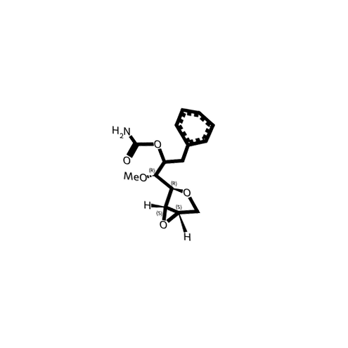 CO[C@H](C(Cc1ccccc1)OC(N)=O)[C@H]1OC[C@@H]2O[C@H]12